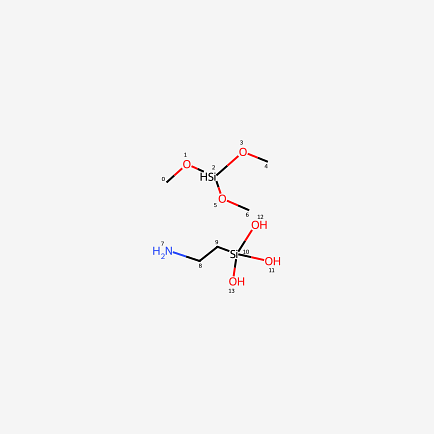 CO[SiH](OC)OC.NCC[Si](O)(O)O